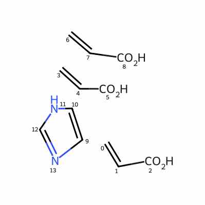 C=CC(=O)O.C=CC(=O)O.C=CC(=O)O.c1c[nH]cn1